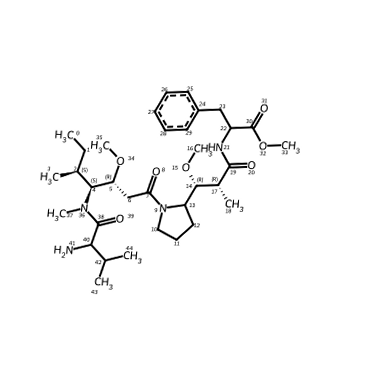 CC[C@H](C)[C@@H]([C@@H](CC(=O)N1CCCC1[C@H](OC)[C@@H](C)C(=O)NC(Cc1ccccc1)C(=O)OC)OC)N(C)C(=O)C(N)C(C)C